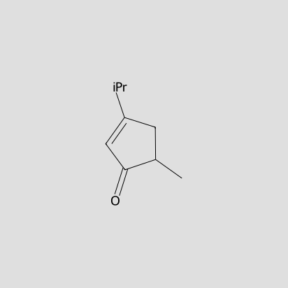 CC(C)C1=CC(=O)C(C)C1